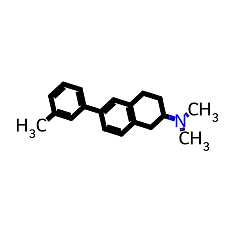 Cc1cccc(-c2ccc3c(c2)CCC(N(C)C)C3)c1